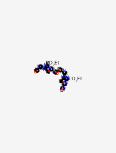 CCOC(=O)c1cc(N2CCC(N3CCOCC3)CC2)c2c(C3CCC3)nn(-c3ccnc(C4=CCOC(C5CN(C6CCN(c7cc(C(=O)OCC)nc8c7c(C7CCC7)nn8-c7ccnc(C8CCOCC8)c7)CC6)CCO5)C4)c3)c2n1